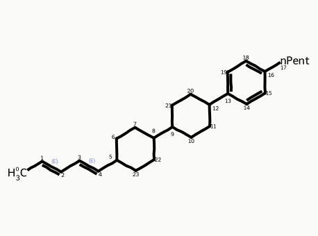 C/C=C/C=C/C1CCC(C2CCC(c3ccc(CCCCC)cc3)CC2)CC1